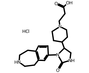 Cl.O=C(O)CCN1CCC(C2CNC(=O)N2c2ccc3c(c2)CCNCC3)CC1